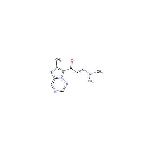 Cc1nc2cncnn2c1C(=O)/C=C/N(C)C